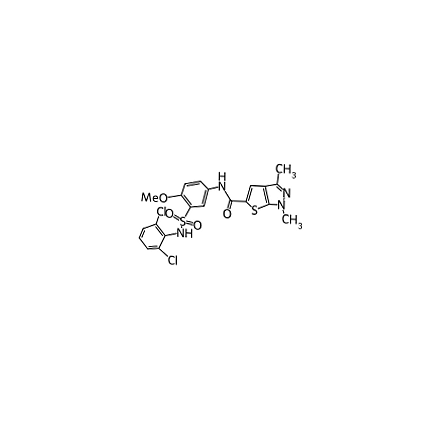 COc1ccc(NC(=O)c2cc3c(C)nn(C)c3s2)cc1S(=O)(=O)Nc1c(Cl)cccc1Cl